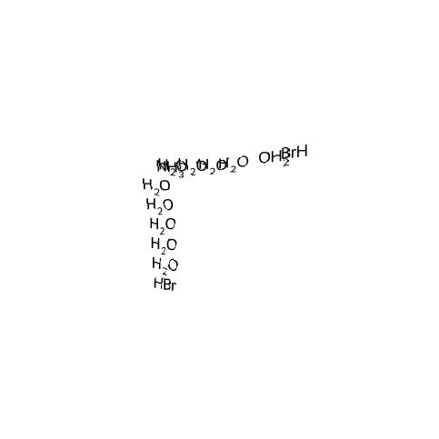 Br.Br.N.O.O.O.O.O.O.O.O.O.O